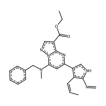 C=Nc1[nH]cc(-c2cc(N(C)Cc3ccccc3)n3ncc(C(=O)OCC)c3n2)c1/C=C\C